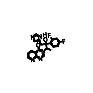 CC(n1cnc2ncccc2c1=O)C(O)(Cn1cncn1)c1ccc(F)cc1F